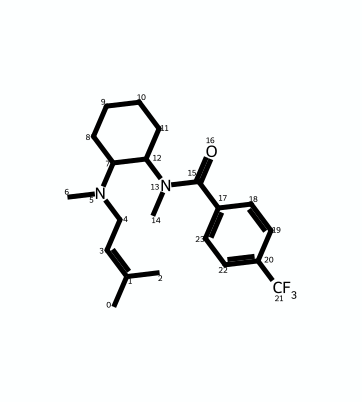 CC(C)=CCN(C)C1CCCCC1N(C)C(=O)c1ccc(C(F)(F)F)cc1